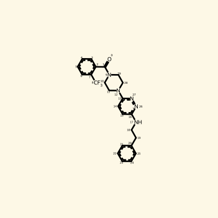 O=C(c1ccccc1C(F)(F)F)N1CCN(c2ccc(NCCc3ccccc3)nn2)CC1